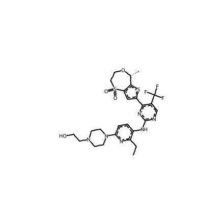 CCc1nc(N2CCN(CCO)CC2)ccc1Nc1ncc(C(F)(F)F)c(-c2cc3c(s2)[C@@H](C)OCCS3(=O)=O)n1